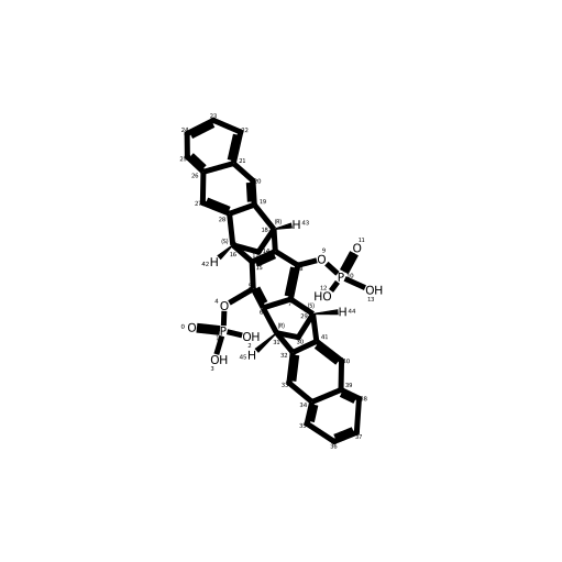 O=P(O)(O)Oc1c2c(c(OP(=O)(O)O)c3c1[C@H]1C[C@@H]3c3cc4ccccc4cc31)[C@H]1C[C@@H]2c2cc3ccccc3cc21